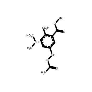 CC(C)(C)OC(=O)c1cc(NNC(N)=S)ccc1C(=O)O.NNC(=O)O